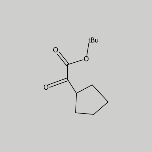 CC(C)(C)OC(=O)C(=O)C1CCCC1